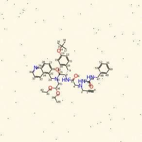 C#CCN(CC(=O)N[C@@H](Cc1ccc(OC(C)(C)C)cc1)C(=O)N(Cc1cccc2ncccc12)CC(OCC)OCC)NC(=O)NCc1ccccc1